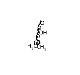 CC1(C)CCC(COCC(O)COCC2CO2)O1